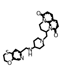 O=c1ccc2ccc(=O)n3c2n1CCC3CN1CCC(NCc2cc3c(cn2)OCCS3)CC1